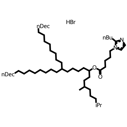 Br.CCCCCCCCCCCCCCCCCCC(CCCCCCCCCCCCCCCCCC)CCCCC(CCC(C)CCCC(C)C)OC(=O)CCCCn1ccnc1CCCC